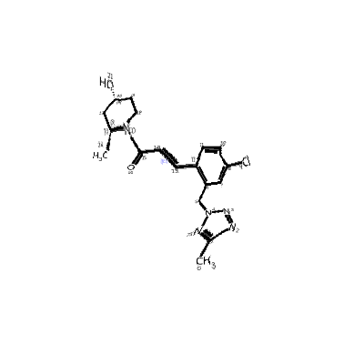 Cc1nnn(Cc2cc(Cl)ccc2/C=C/C(=O)N2CC[C@@H](O)C[C@@H]2C)n1